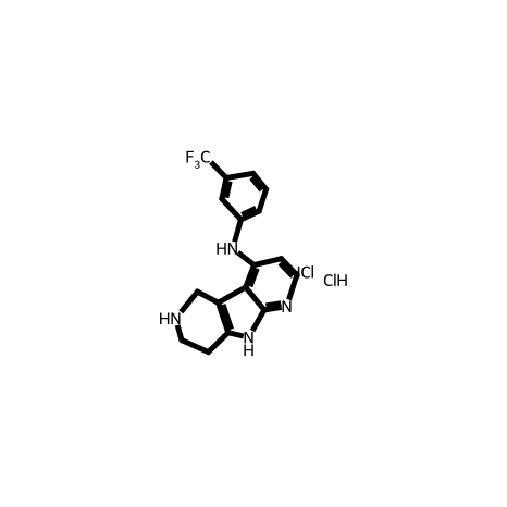 Cl.Cl.FC(F)(F)c1cccc(Nc2ccnc3[nH]c4c(c23)CNCC4)c1